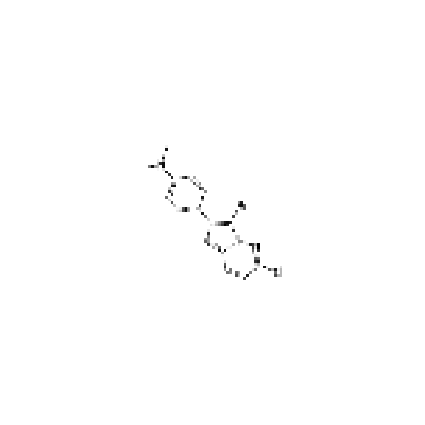 CN(C)c1ccc(-c2nc3ccc(Cl)nn3c2Br)cc1